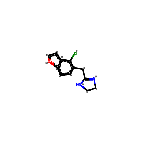 Clc1c(CC2=NCCN2)ccc2occc12